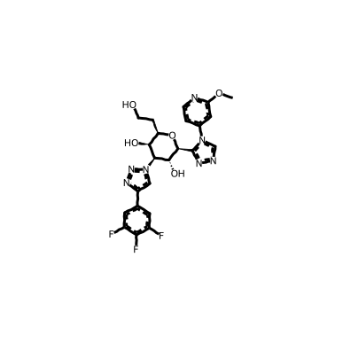 COc1cc(-n2cnnc2[C@@H]2O[C@H](CCO)[C@H](O)[C@H](n3cc(-c4cc(F)c(F)c(F)c4)nn3)[C@H]2O)ccn1